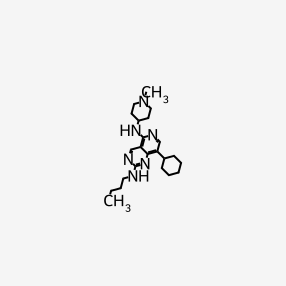 CCCCNc1ncc2c(NC3CCN(C)CC3)ncc(C3CCCCC3)c2n1